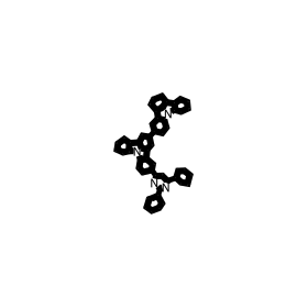 c1ccc(-c2cc(-c3ccc4c(c3)c3cc(-c5ccc6c(c5)c5cccc7c8ccccc8n6c75)cc5c6ccccc6n4c53)nc(-c3ccccc3)n2)cc1